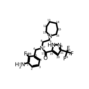 Nc1cccc(CN(CCN2CCCCCC2)C(=O)c2cc(C(F)(F)F)n[nH]2)c1F